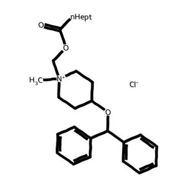 CCCCCCCC(=O)OC[N+]1(C)CCC(OC(c2ccccc2)c2ccccc2)CC1.[Cl-]